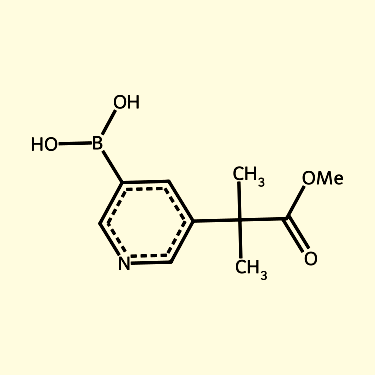 COC(=O)C(C)(C)c1cncc(B(O)O)c1